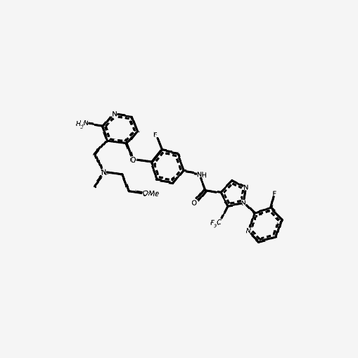 COCCN(C)Cc1c(Oc2ccc(NC(=O)c3cnn(-c4ncccc4F)c3C(F)(F)F)cc2F)ccnc1N